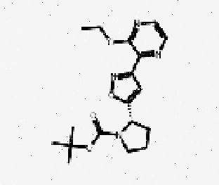 CCOc1nccnc1-c1cc([C@@H]2CCCN2C(=O)OC(C)(C)C)on1